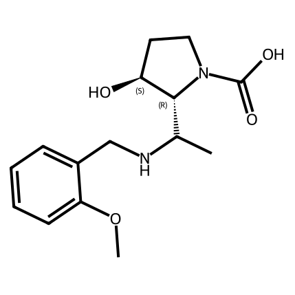 COc1ccccc1CNC(C)[C@@H]1[C@@H](O)CCN1C(=O)O